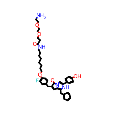 NCCOCCOCCC(=O)NCCCCCCCCOc1ccc(Cc2cc3c(Cc4ccccc4)[nH]c(-c4ccc(O)cc4)cn-3c2=O)cc1F